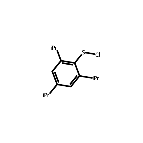 CC(C)c1cc(C(C)C)c(SCl)c(C(C)C)c1